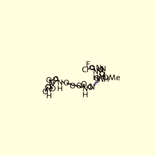 COc1cc2ncnc(Nc3ccc(F)c(Cl)c3)c2cc1NC(=O)/C=C/CN1CCC(NC(=O)COCCOCCOCCNc2cccc3c2CN(C2CCC(=O)NC2=O)C3=O)CC1